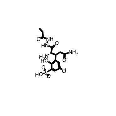 CCC(=O)NNC(=O)[C@@H](N)C(CC(N)=O)c1cc(Cl)cc(S(=O)(=O)O)c1O